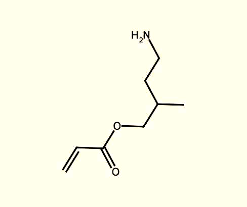 C=CC(=O)OCC(C)CCN